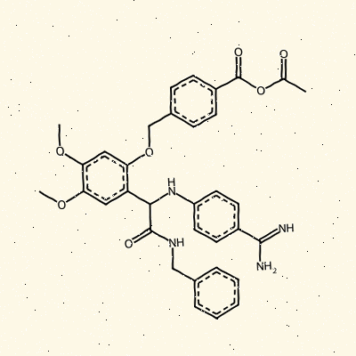 COc1cc(OCc2ccc(C(=O)OC(C)=O)cc2)c(C(Nc2ccc(C(=N)N)cc2)C(=O)NCc2ccccc2)cc1OC